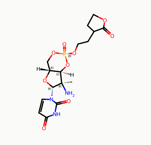 C[C@@]1(N)[C@@H]2O[P@](=O)(OCCC3CCOC3=O)OC[C@H]2O[C@H]1n1ccc(=O)[nH]c1=O